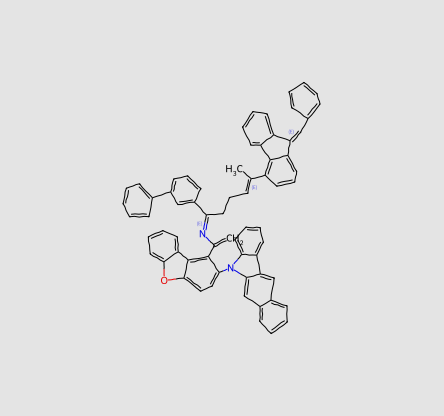 C=C(/N=C(\CC/C=C(\C)c1cccc2c1-c1ccccc1/C2=C\c1ccccc1)c1cccc(-c2ccccc2)c1)c1c(-n2c3ccccc3c3cc4ccccc4cc32)ccc2oc3ccccc3c12